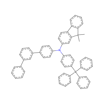 CC1(C)c2ccccc2-c2ccc(N(c3ccc(-c4cccc(-c5ccccc5)c4)cc3)c3ccc([Si](c4ccccc4)(c4ccccc4)c4ccccc4)cc3)cc21